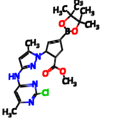 COC(=O)C1CC(B2OC(C)(C)C(C)(C)O2)=CC1n1nc(Nc2cc(C)nc(Cl)n2)cc1C